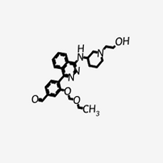 CCOCOc1cc(C=O)ccc1-c1nnc(NC2CCCN(CCO)C2)c2ccccc12